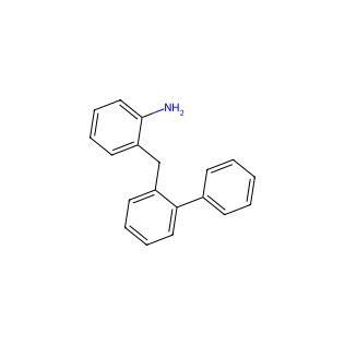 Nc1ccccc1Cc1ccccc1-c1ccccc1